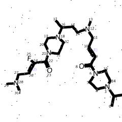 CC(C)N1CCN(C(=O)/C=C/CN(C)CCC(C)N2CCN(C(=O)/C(F)=C/CN(C)I)CC2)CC1